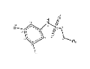 O=S(=O)(CCCl)Nc1cc(F)cc(Br)c1